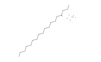 CCCCCCCCCCCCCCC(CCC)OS(N)(=O)=O